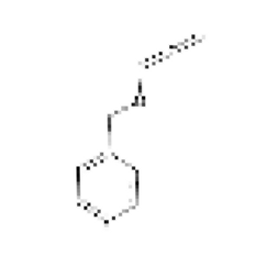 C=C=COCc1ccc(C)cc1